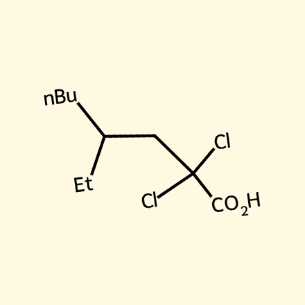 CCCCC(CC)CC(Cl)(Cl)C(=O)O